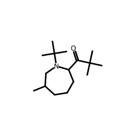 CC1CCCC(C(=O)C(C)(C)C)N(C(C)(C)C)C1